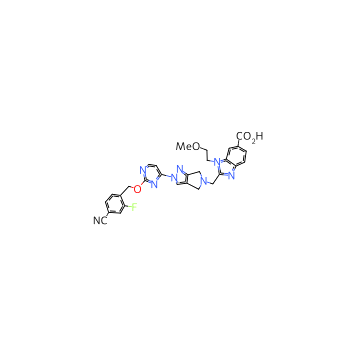 COCCn1c(CN2Cc3cn(-c4ccnc(OCc5ccc(C#N)cc5F)n4)nc3C2)nc2ccc(C(=O)O)cc21